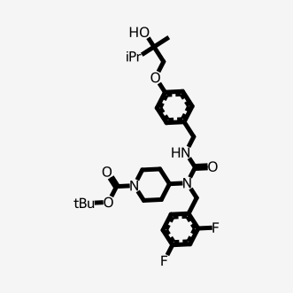 CC(C)C(C)(O)COc1ccc(CNC(=O)N(Cc2ccc(F)cc2F)C2CCN(C(=O)OC(C)(C)C)CC2)cc1